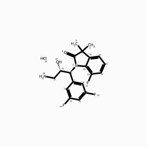 CC1(C)C(=O)N([C@@H](c2cc(F)cc(F)c2)[C@@H](O)CN)c2c(F)cccc21.Cl